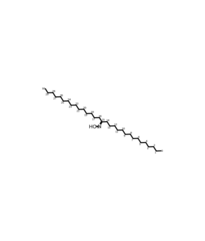 CCCCCCCCCCCCCCCC(CCCCCCCCCCCCCCC)=NO